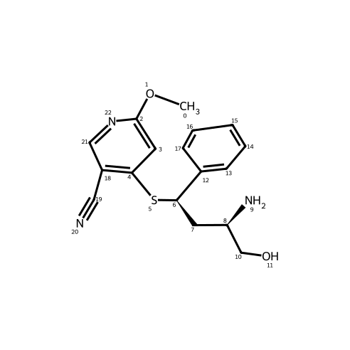 COc1cc(S[C@H](C[C@@H](N)CO)c2ccccc2)c(C#N)cn1